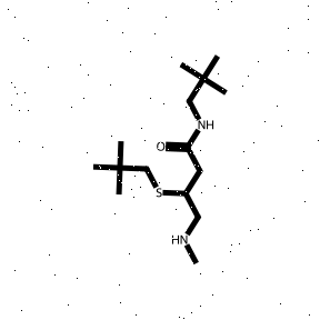 CNCC(CC(=O)NCC(C)(C)C)SCC(C)(C)C